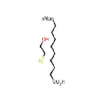 CCCCCCCCCCCCCCCCCC(=O)O.OCCS